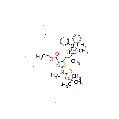 CCOC(=O)c1nc(N(C)C(=O)OC(C)(C)C)sc1CC(C)CO[Si](c1ccccc1)(c1ccccc1)C(C)(C)C